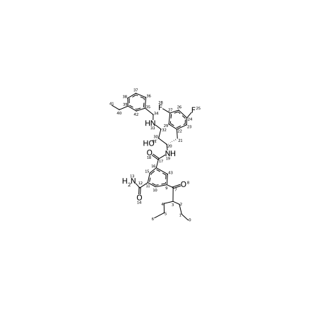 CCCC(CCC)C(=O)c1cc(C(N)=O)cc(C(=O)N[C@@H](Cc2cc(F)cc(F)c2)[C@H](O)CNCc2cccc(CC)c2)c1